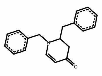 O=C1C=CN(Cc2ccccc2)C(Cc2ccccc2)C1